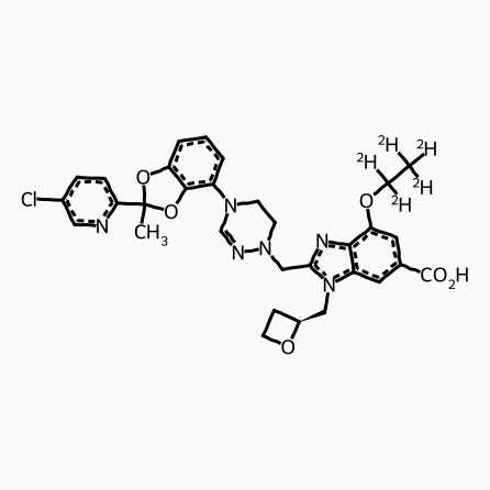 [2H]C([2H])([2H])C([2H])([2H])Oc1cc(C(=O)O)cc2c1nc(CN1CCN(c3cccc4c3OC(C)(c3ccc(Cl)cn3)O4)C=N1)n2C[C@@H]1CCO1